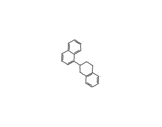 [c]1cccc2c1CCC(c1cccc3ccccc13)C2